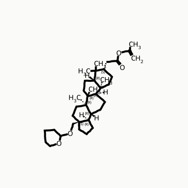 C=C(C)OC(=O)C[C@@H]1CC[C@]2(C)[C@H](CC[C@]3(C)[C@@H]2CC[C@@H]2[C@H]4CCC[C@]4(COC4CCCCO4)CC[C@]23C)C1(C)C